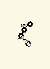 O=c1ccc(-c2ccc3c(c2)ncn3-c2ccccc2)cn1CCN1CCOCC1